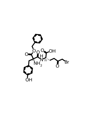 N[C@@](Cc1ccc(O)cc1)(C(=O)N[C@@H](CCC(=O)CBr)C(=O)O)C(=O)OCc1ccccc1